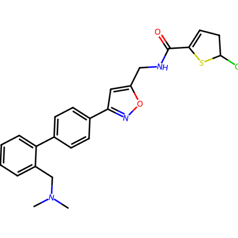 CN(C)Cc1ccccc1-c1ccc(-c2cc(CNC(=O)C3=CCC(Cl)S3)on2)cc1